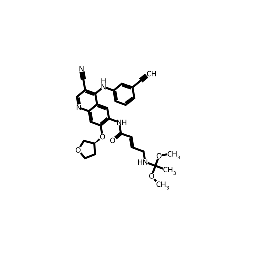 C#Cc1cccc(Nc2c(C#N)cnc3cc(O[C@H]4CCOC4)c(NC(=O)/C=C/CNC(C)(OC)OC)cc23)c1